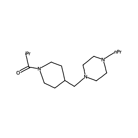 CCCN1CCN(CC2CCN(C(=O)C(C)C)CC2)CC1